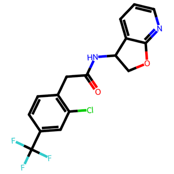 O=C(Cc1ccc(C(F)(F)F)cc1Cl)NC1COc2ncccc21